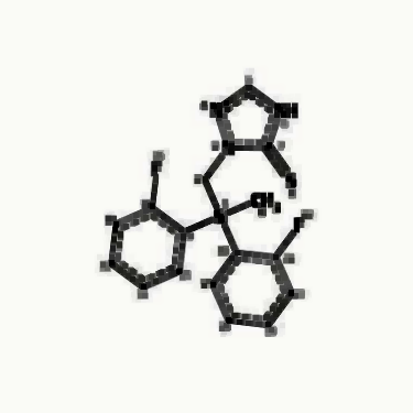 C[Si](Cn1nc[nH]c1=S)(c1ccccc1F)c1ccccc1F